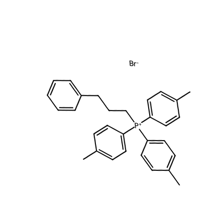 Cc1ccc([P+](CCCc2ccccc2)(c2ccc(C)cc2)c2ccc(C)cc2)cc1.[Br-]